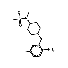 CN([C@H]1CC[C@@H](Cc2cc(F)ccc2N)CC1)S(C)(=O)=O